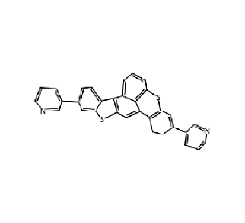 C1=C(c2cccnc2)CCC2=C1Sc1cccc3c1c2cc1sc2cc(-c4cccnc4)ccc2c13